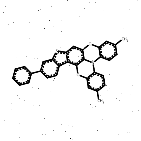 Cc1ccc2c(c1)Oc1cc3sc4cc(-c5ccccc5)ccc4c3c3c1N2c1ccc(C)cc1O3